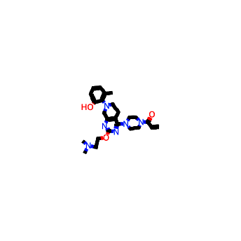 C=CC(=O)N1CCN(c2nc(OCCN(C)C)nc3c2CCN(c2c(C)cccc2O)C3)CC1